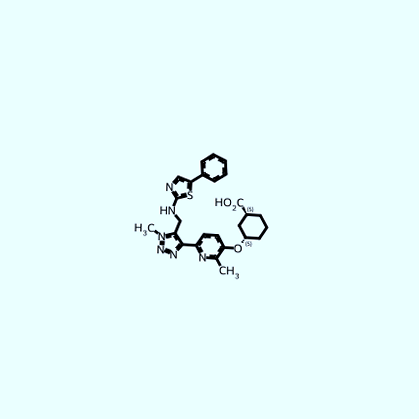 Cc1nc(-c2nnn(C)c2CNc2ncc(-c3ccccc3)s2)ccc1O[C@H]1CCC[C@H](C(=O)O)C1